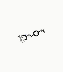 C=C/C(=C\C)OCc1ccc(N)cc1